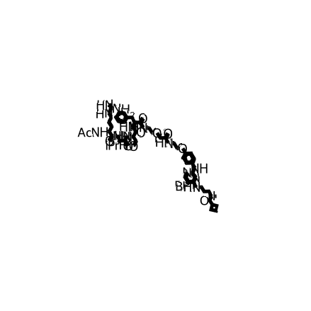 CC(=O)NC(CCCNC(=N)N)C(=O)NC(C(=O)NC(CO)C(=O)NC(Cc1ccccc1)C(=O)NCCOCC(=O)NCCOc1ccc(Nc2ncc(Br)c(NCCCN(C)C(=O)C3CCC3)n2)cc1)C(C)C